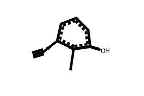 C#Cc1cccc(O)c1C